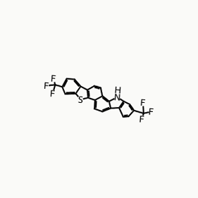 FC(F)(F)c1ccc2c(c1)[nH]c1c2ccc2c1ccc1c3ccc(C(F)(F)F)cc3sc12